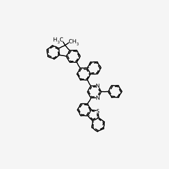 CC1(C)c2ccccc2-c2cc(-c3ccc(-c4cc(-c5cccc6c5sc5ccccc56)nc(-c5ccccc5)n4)c4ccccc34)ccc21